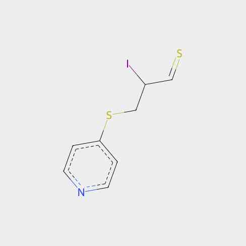 S=CC(I)CSc1ccncc1